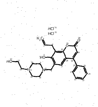 C=CCc1c(O)c(CN2CCN(CCO)CC2)cc2c(-c3ccccc3)cc(=O)oc12.Cl.Cl